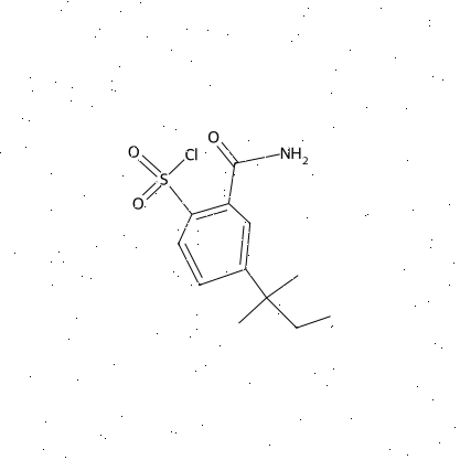 CCC(C)(C)c1ccc(S(=O)(=O)Cl)c(C(N)=O)c1